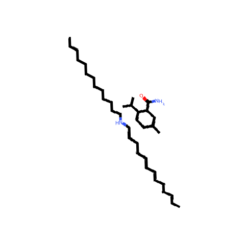 CC1CCC(C(C)C)C(C(N)=O)C1.CCCCCCCCCCCCCNCCCCCCCCCCCCC